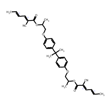 C/C=C/C=C(\C#N)C(=O)OC(C)COc1ccc(C(C)(C)c2ccc(OCC(C)OC(=O)/C(C#N)=C/C=C/C)cc2)cc1